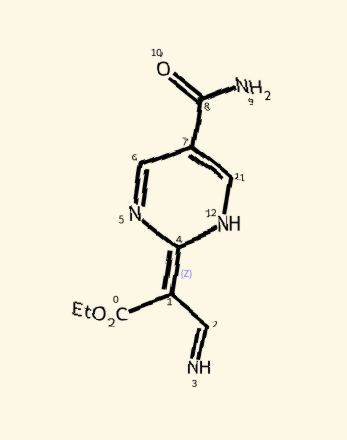 CCOC(=O)/C(C=N)=C1\N=CC(C(N)=O)=CN1